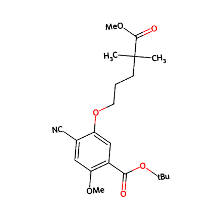 COC(=O)C(C)(C)CCCOc1cc(C(=O)OC(C)(C)C)c(OC)cc1C#N